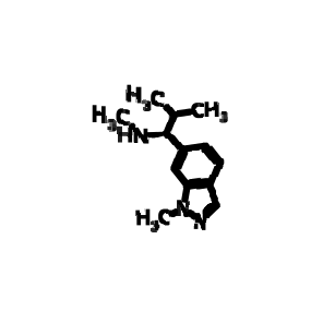 CN[C@H](c1ccc2cnn(C)c2c1)C(C)C